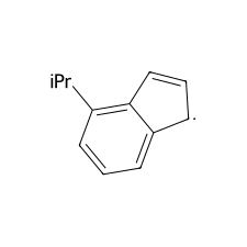 CC(C)c1cccc2c1C=C[CH]2